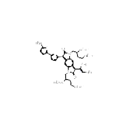 CCC/C=C(\S)C1=c2cc3c(cc2N(CC(CCCCCCCCCC)CCCCCCCCCCCC)C1=O)=C(c1ccc(-c2ccc(C(C)(C)C)s2)s1)C(=O)N3CC(CCCCCCCCCC)CCCCCCCCCCCC